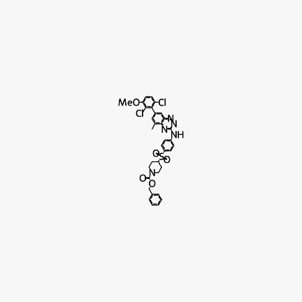 COc1ccc(Cl)c(-c2cc(C)c3nc(Nc4ccc(S(=O)(=O)C5CCN(C(=O)OCc6ccccc6)CC5)cc4)nnc3c2)c1Cl